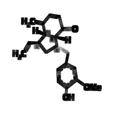 C=C[C@@H]1C[C@@H](Cc2ccc(O)c(OC)c2)[C@H]2C(=O)C=CC(=C)[C@H]21